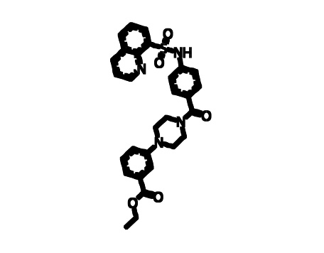 CCOC(=O)c1cccc(N2CCN(C(=O)c3ccc(NS(=O)(=O)c4cccc5cccnc45)cc3)CC2)c1